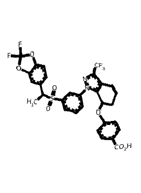 CC(c1ccc2c(c1)OC(F)(F)O2)S(=O)(=O)c1cccc(-n2nc(C(F)(F)F)c3c2C(Oc2ccc(C(=O)O)cc2)CCC3)c1